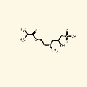 CC(C)C(=O)OCCN(C)CC(O)CS(=O)(=O)O